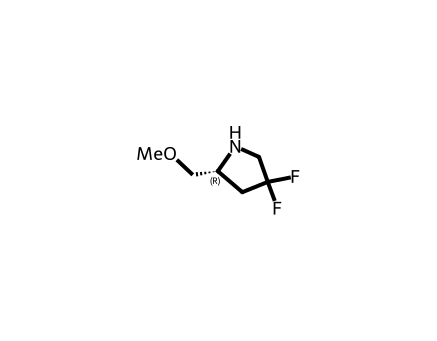 COC[C@H]1CC(F)(F)CN1